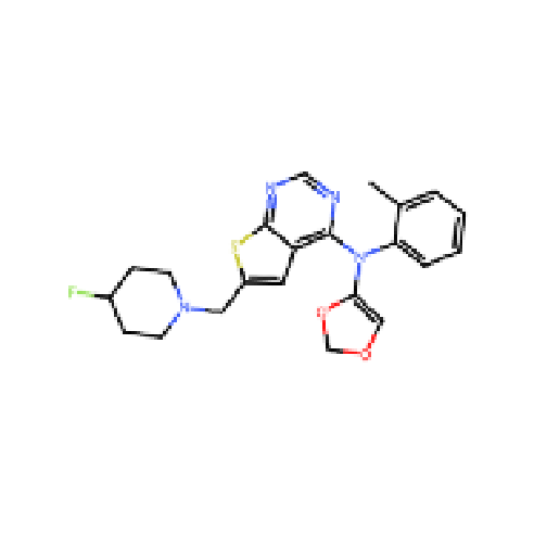 Cc1ccccc1N(C1=COCO1)c1ncnc2sc(CN3CCC(F)CC3)cc12